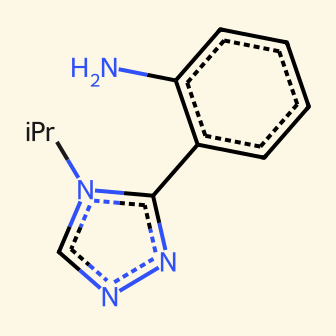 CC(C)n1cnnc1-c1ccccc1N